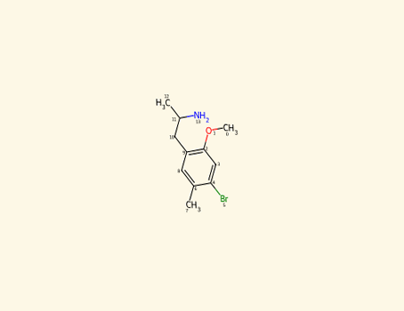 COc1cc(Br)c(C)cc1CC(C)N